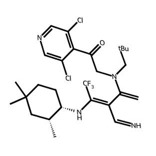 C=C(/C(C=N)=C(/N[C@H]1CCC(C)(C)C[C@H]1C)C(F)(F)F)N(CC(=O)c1c(Cl)cncc1Cl)CC(C)(C)C